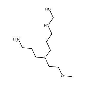 COCCN(CCCN)CCCNCO